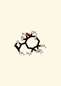 CC1=COC1C1CC(C)(C)C(C)(C)CNC(C)(C)C1(C)C